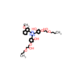 CCCCOCC(O)COc1ccc(-c2nc(-c3ccc(OCC(O)COCCCC)cc3O)nc(-c3ccc(OC)c4ccccc34)n2)c(O)c1